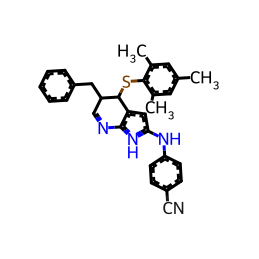 Cc1cc(C)c(SC2c3cc(Nc4ccc(C#N)cc4)[nH]c3N=CC2Cc2ccccc2)c(C)c1